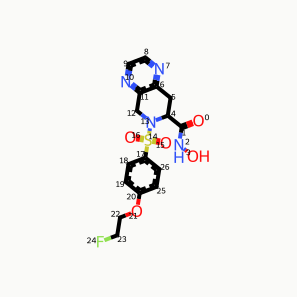 O=C(NO)C1Cc2nccnc2CN1S(=O)(=O)c1ccc(OCCF)cc1